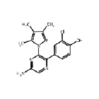 Cc1nn(-c2nc(N)cnc2-c2ccc(O)c(Cl)c2)c(C)c1C